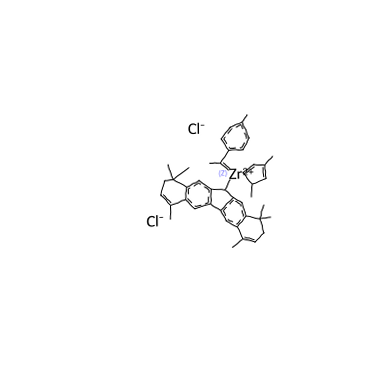 CC1=CC(C)[C](/[Zr+2](=[C](/C)c2ccc(C)cc2)[CH]2c3cc4c(cc3-c3cc5c(cc32)C(C)(C)CC=C5C)C(C)=CCC4(C)C)=C1.[Cl-].[Cl-]